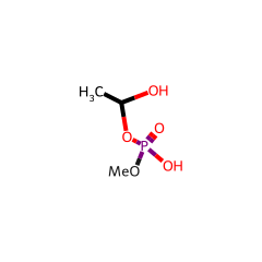 COP(=O)(O)OC(C)O